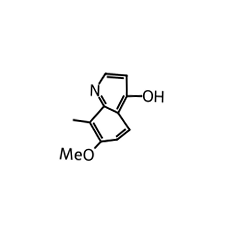 COc1ccc2c(O)ccnc2c1C